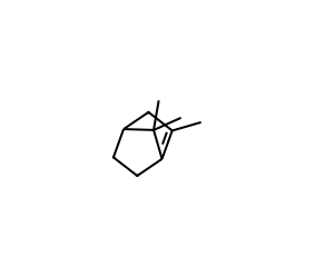 CC1=C2CCC(C1)C2(C)C